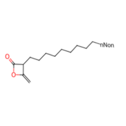 C=C1OC(=O)C1CCCCCCCCCCCCCCCCCC